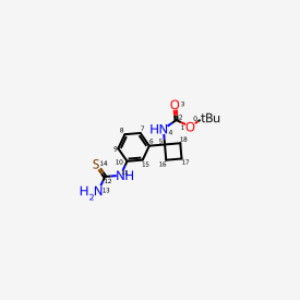 CC(C)(C)OC(=O)NC1(c2cccc(NC(N)=S)c2)CCC1